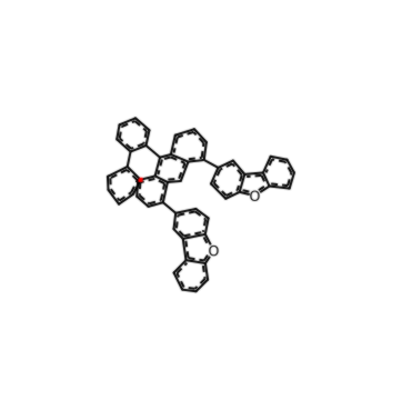 c1ccc(-c2ccccc2-c2c3cccc(-c4ccc5oc6ccccc6c5c4)c3cc3c(-c4ccc5oc6ccccc6c5c4)cccc23)cc1